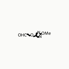 COc1ncc(COCCC=O)cn1